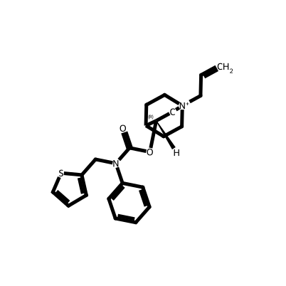 C=CC[N+]12CCC(CC1)[C@@H](OC(=O)N(Cc1cccs1)c1ccccc1)C2